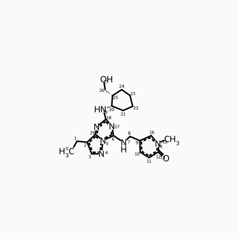 CCc1cnn2c(NCc3ccc(=O)n(C)c3)nc(N[C@H]3CCCC[C@H]3CO)nc12